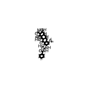 CN(C)c1cc(NC(=O)NC(=O)c2ccccc2)c(O)c2c1C[C@H]1C[C@H]3CC(O)=C(C(N)=O)C(=O)[C@@]3(O)C(O)=C1C2=O